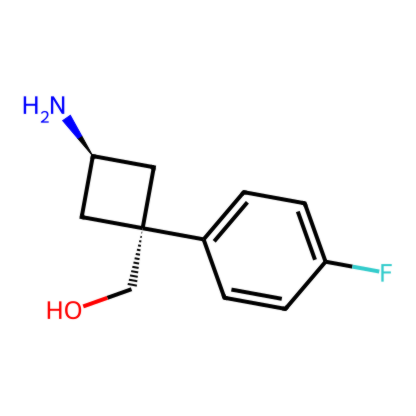 N[C@H]1C[C@@](CO)(c2ccc(F)cc2)C1